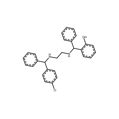 Oc1ccccc1C(NCCNC(c1ccccc1)c1ccc(Cl)cc1)c1ccccc1